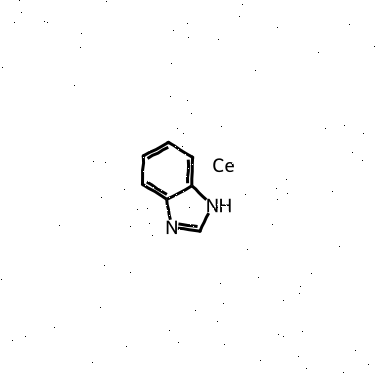 [Ce].c1ccc2[nH]cnc2c1